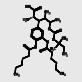 CCCCCC(=O)Oc1ccc(C(C(C)C(C)OC(=O)OC(C)(C)CC)[C@H](N)C(=O)O)cc1OC(=O)CCCCC